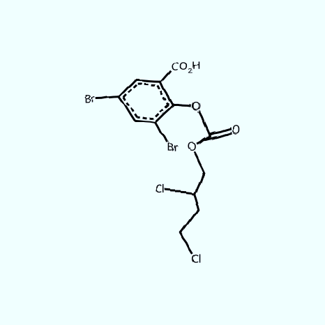 O=C(OCC(Cl)CCCl)Oc1c(Br)cc(Br)cc1C(=O)O